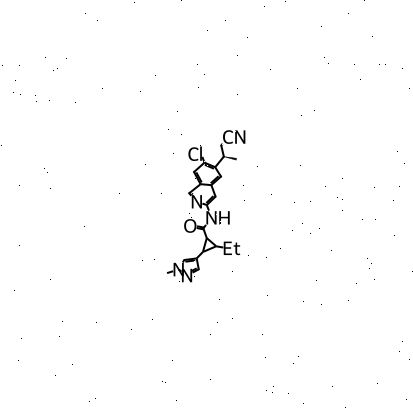 CCC1C(C(=O)Nc2cc3cc([C@H](C)CC#N)c(Cl)cc3cn2)C1c1cnn(C)c1